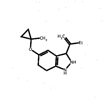 C=C(CC)C1NNC2=C1C=C(OC1(C)CC1)CC2